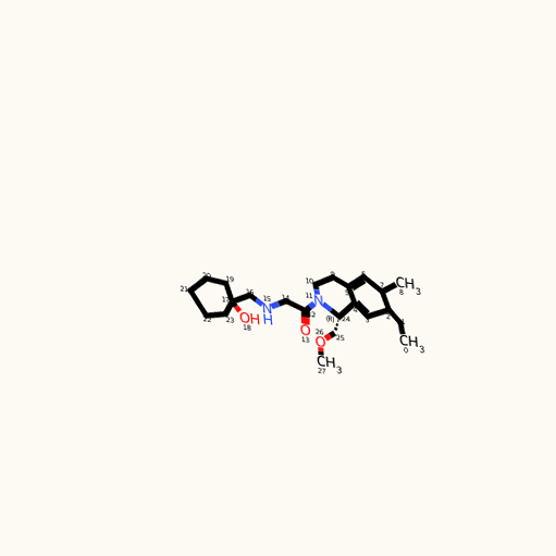 CCC1C=C2C(=CC1C)CCN(C(=O)CNCC1(O)CCCCC1)[C@H]2COC